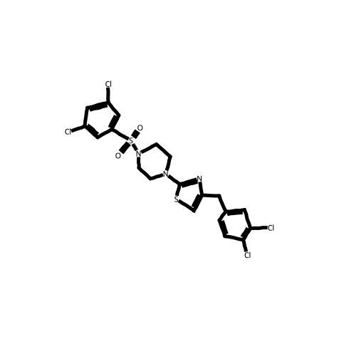 O=S(=O)(c1cc(Cl)cc(Cl)c1)N1CCN(c2nc(Cc3ccc(Cl)c(Cl)c3)cs2)CC1